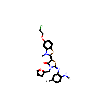 CCNc1ccc(C(C)=O)cc1/N=C1/S/C(=C2\Sc3ccc(OCCCl)cc3N2C)C(=O)N1Cc1ccco1